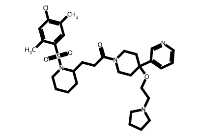 Cc1cc(S(=O)(=O)N2CCCCC2CCC(=O)N2CCC(OCCN3CCCC3)(c3cccnc3)CC2)c(C)cc1Cl